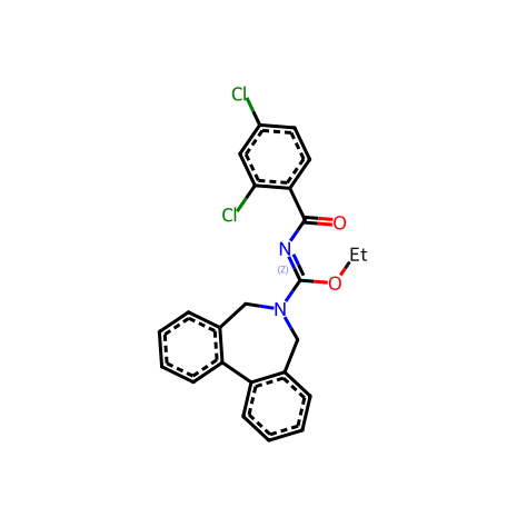 CCO/C(=N\C(=O)c1ccc(Cl)cc1Cl)N1Cc2ccccc2-c2ccccc2C1